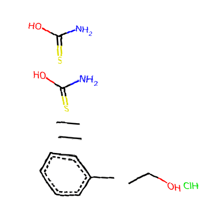 CC.CC.CCO.Cc1ccccc1.Cl.NC(O)=S.NC(O)=S